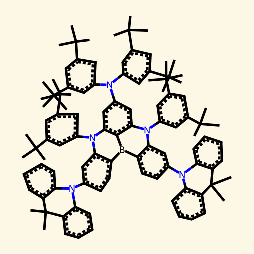 CC(C)(C)c1cc(N(c2cc(C(C)(C)C)cc(C(C)(C)C)c2)c2cc3c4c(c2)N(c2cc(C(C)(C)C)cc(C(C)(C)C)c2)c2cc(N5c6ccccc6C(C)(C)c6ccccc65)ccc2B4c2ccc(N4c5ccccc5C(C)(C)c5ccccc54)cc2N3c2cc(C(C)(C)C)cc(C(C)(C)C)c2)cc(C(C)(C)C)c1